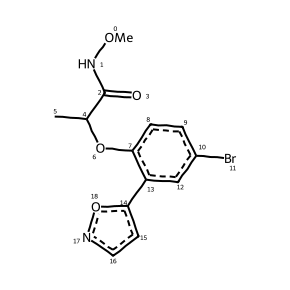 CONC(=O)C(C)Oc1ccc(Br)cc1-c1ccno1